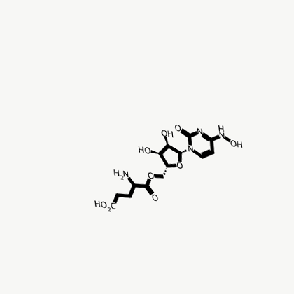 NC(CCC(=O)O)C(=O)OC[C@H]1O[C@@H](n2ccc(NO)nc2=O)[C@H](O)[C@@H]1O